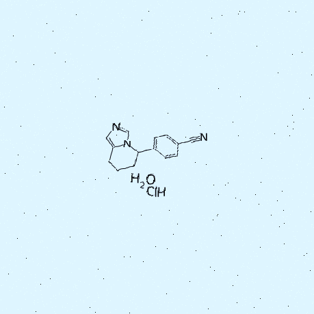 Cl.N#Cc1ccc(C2CCCc3cncn32)cc1.O